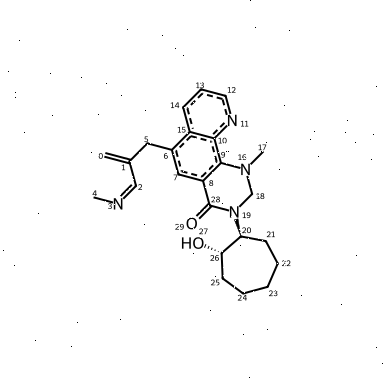 C=C(/C=N\C)Cc1cc2c(c3ncccc13)N(C)CN([C@H]1CCCCC[C@@H]1O)C2=O